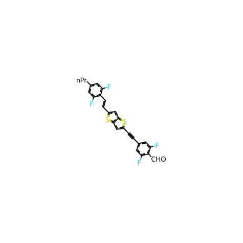 CCCc1cc(F)c(/C=C/c2cc3sc(C#Cc4cc(F)c(C=O)c(F)c4)cc3s2)c(F)c1